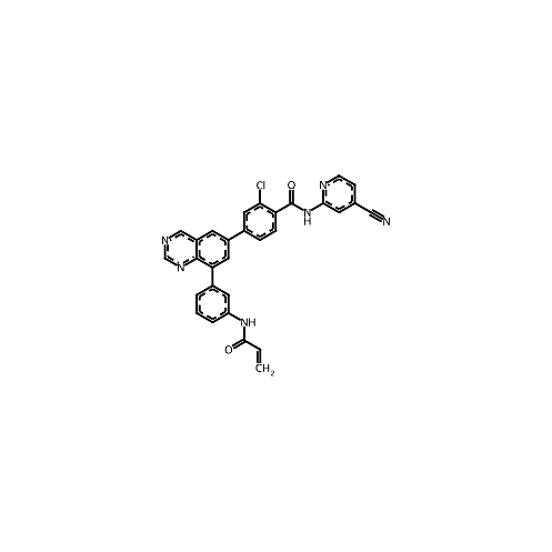 C=CC(=O)Nc1cccc(-c2cc(-c3ccc(C(=O)Nc4cc(C#N)ccn4)c(Cl)c3)cc3cncnc23)c1